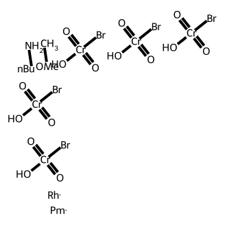 CCCCN.COC.[O]=[Cr](=[O])([OH])[Br].[O]=[Cr](=[O])([OH])[Br].[O]=[Cr](=[O])([OH])[Br].[O]=[Cr](=[O])([OH])[Br].[O]=[Cr](=[O])([OH])[Br].[Pm].[Rh]